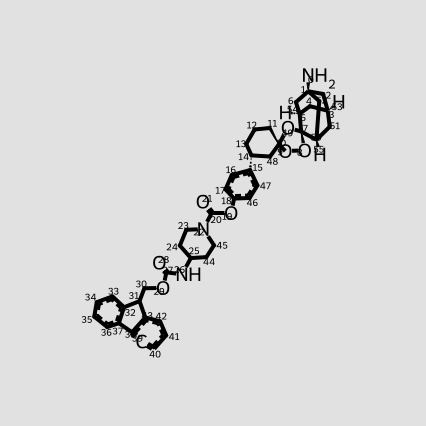 N[C@]12C[C@@H]3C[C@H](C1)[C@]1(OO[C@@]4(CCC[C@@H](c5ccc(OC(=O)N6CCC(NC(=O)OCC7c8ccccc8-c8ccccc87)CC6)cc5)C4)O1)[C@@H](C3)C2